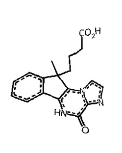 CC1(CCCC(=O)O)c2ccccc2-c2[nH]c(=O)c3nccn3c21